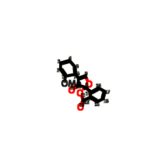 COc1ccccc1C1=COC2(OC(=O)c3ccccc32)C1=O